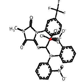 CN1C(=O)C(=NC(N(c2ccccc2[N+](=O)[O-])c2ccccc2[N+](=O)[O-])C(Cl)(Cl)Cl)N(c2cccc(C(F)(F)F)c2)C1=O